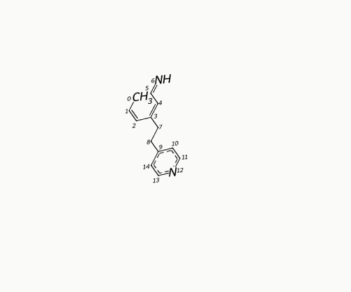 C/C=C\C(=C/C=N)CCc1ccncc1